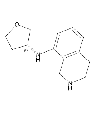 c1cc2c(c(N[C@@H]3CCOC3)c1)CNCC2